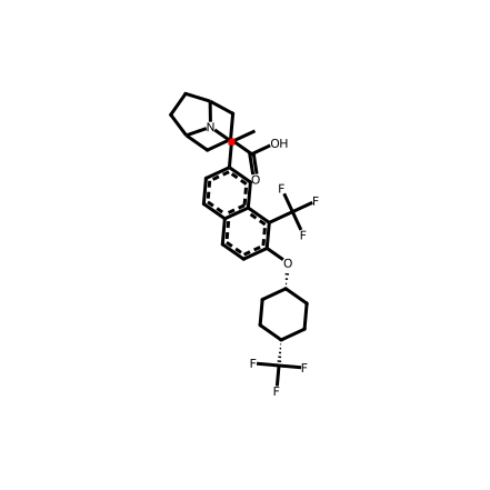 CC(c1ccc2ccc(O[C@H]3CC[C@@H](C(F)(F)F)CC3)c(C(F)(F)F)c2c1)N1C2CCC1CC(C(=O)O)C2